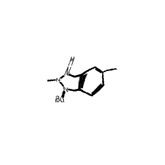 CCC(C)N1c2ccc(C)cc2NN1C